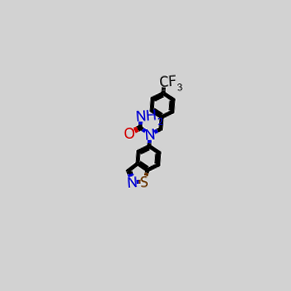 NC(=O)N(Cc1ccc(C(F)(F)F)cc1)c1ccc2sncc2c1